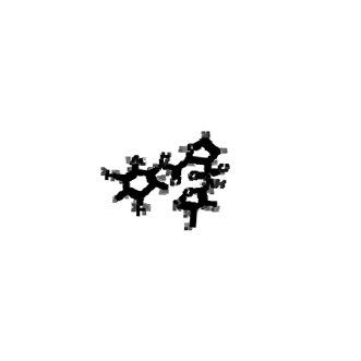 [2H]c1c(C)c([2H])c(C(C)=O)c(NC(=O)c2sccc2S(=O)(=O)Nc2onc(C)c2C)c1C